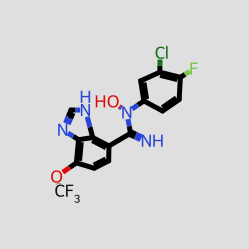 N=C(c1ccc(OC(F)(F)F)c2nc[nH]c12)N(O)c1ccc(F)c(Cl)c1